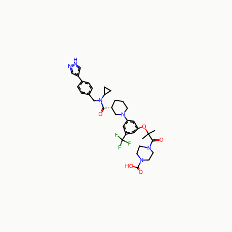 CC(C)(Oc1cc(N2CCC[C@@H](C(=O)N(Cc3ccc(-c4cn[nH]c4)cc3)C3CC3)C2)cc(C(F)(F)F)c1)C(=O)N1CCN(C(=O)O)CC1